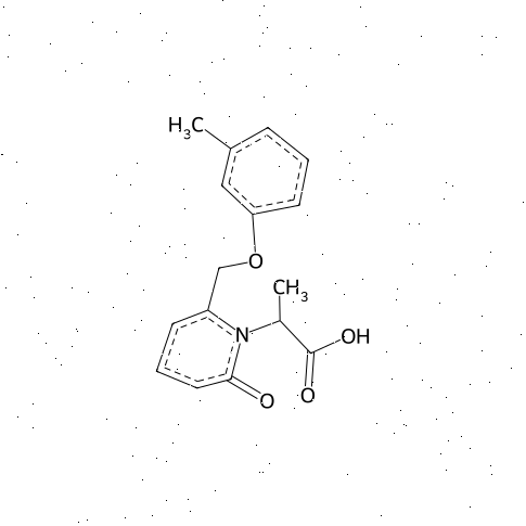 Cc1cccc(OCc2cccc(=O)n2C(C)C(=O)O)c1